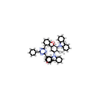 CC1C(n2c3ccccc3c3ccccc32)=Cc2c(oc3cccc(-c4nc(-c5ccccc5)nc(-c5ccccc5)n4)c23)C1n1c2ccccc2c2ccccc21